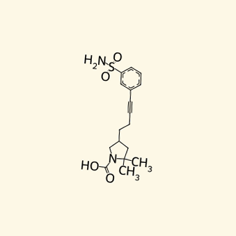 CC1(C)CC(CCC#Cc2cccc(S(N)(=O)=O)c2)CN1C(=O)O